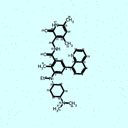 CCN(c1cc(-c2cccc3cccnc23)cc(C(=O)NCc2c(C)cc(C)[nH]c2=O)c1C)[C@H]1CC[C@H](N(C)C)CC1